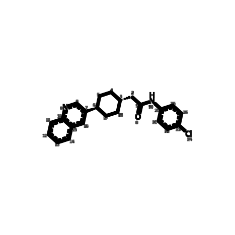 O=C(C[C@H]1CC[C@H](c2cnc3ccccc3c2)CC1)Nc1ccc(Cl)cc1